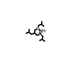 CC(C)CC1CN(CC(C)C)NN(CC(C)C)C1